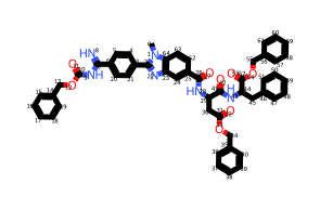 Cn1c(-c2ccc(C(=N)NC(=O)OCc3ccccc3)cc2)nc2cc(C(=O)NC(CC(=O)OCc3ccccc3)C(=O)NC(Cc3ccccc3)C(=O)OCc3ccccc3)ccc21